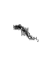 Nc1ccc(CC(=O)Nc2cccc(C(=O)Nc3ccc(S(=O)(=O)Nc4ccccc4)cc3)c2)cc1